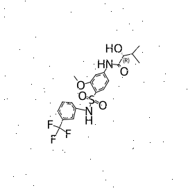 COc1cc(NC(=O)[C@H](O)C(C)C)ccc1S(=O)(=O)Nc1cccc(C(F)(F)F)c1